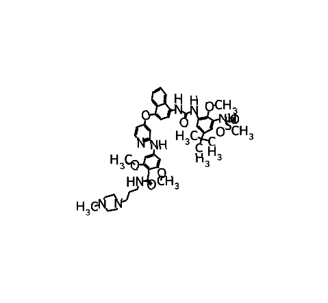 COc1cc(Nc2cc(Oc3ccc(NC(=O)Nc4cc(C(C)(C)C)cc(NS(C)(=O)=O)c4OC)c4ccccc34)ccn2)cc(OC)c1C(=O)NCCCN1CCN(C)CC1